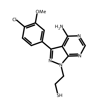 COc1cc(-c2nn(CCS)c3ncnc(N)c23)ccc1Cl